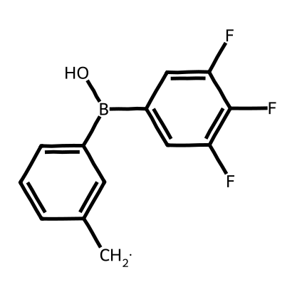 [CH2]c1cccc(B(O)c2cc(F)c(F)c(F)c2)c1